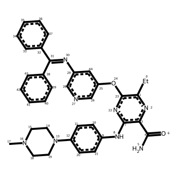 CCc1nc(C(N)=O)c(Nc2ccc(N3CCN(C)CC3)cc2)nc1Oc1cncc(N=C(c2ccccc2)c2ccccc2)c1